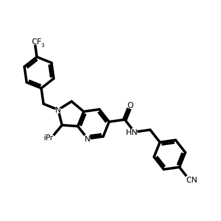 CC(C)C1c2ncc(C(=O)NCc3ccc(C#N)cc3)cc2CN1Cc1ccc(C(F)(F)F)cc1